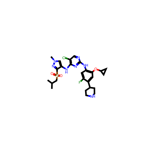 CC(C)CS(=O)(=O)c1nn(C)cc1Nc1nc(Nc2cc(F)c(C3CCNCC3)cc2OC2CC2)ncc1Cl